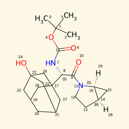 CC(C)(C)OC(=O)N[C@H](C(=O)N1CC[C@@H]2C[C@@H]21)C12CC3CC(CC(O)(C3)C1)C2